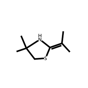 CC(C)=C1NC(C)(C)CS1